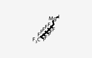 FC(F)(F)C(F)(F)C(F)(F)C(F)(F)C(F)(F)C(F)(F)C[CH2][Mg][I]